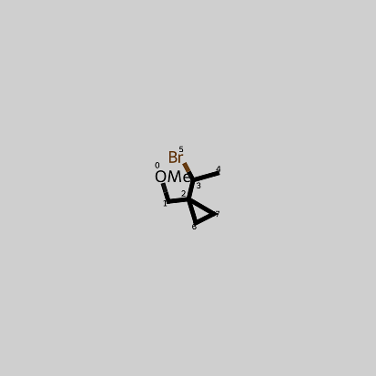 COCC1(C(C)Br)CC1